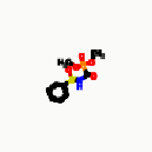 COP(=O)(OC)C(=O)N[S+]([O-])c1ccccc1